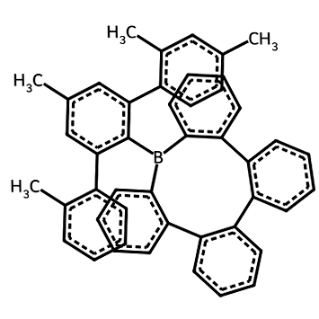 Cc1ccc(-c2cc(C)cc(-c3ccccc3C)c2B2c3ccccc3-c3ccccc3-c3ccccc3-c3ccccc32)c(C)c1